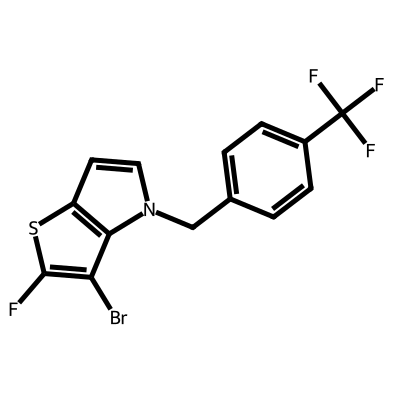 Fc1sc2ccn(Cc3ccc(C(F)(F)F)cc3)c2c1Br